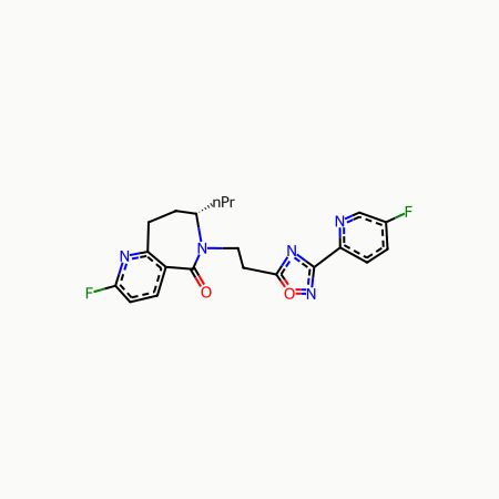 CCC[C@H]1CCc2nc(F)ccc2C(=O)N1CCc1nc(-c2ccc(F)cn2)no1